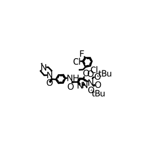 CC(Oc1cc(C(=O)Nc2ccc(C(=O)N3CCN(C)CC3)cc2)nnc1N(C(=O)OC(C)(C)C)C(=O)OC(C)(C)C)c1c(Cl)ccc(F)c1Cl